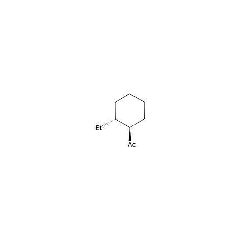 CC[C@@H]1CCCC[C@H]1C(C)=O